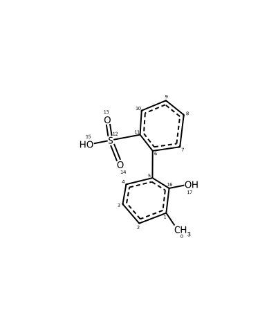 Cc1cccc(-c2ccccc2S(=O)(=O)O)c1O